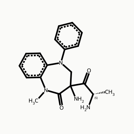 C[C@H](N)C(=O)C1(N)CN(c2ccccc2)c2ccccc2N(C)C1=O